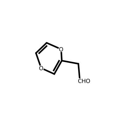 O=CCC1=COC=CO1